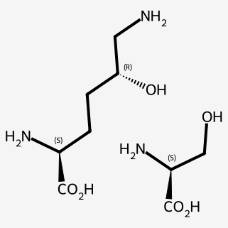 NC[C@H](O)CC[C@H](N)C(=O)O.N[C@@H](CO)C(=O)O